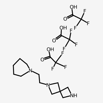 C1CCN(CCN2CC3(CNC3)C2)CC1.O=C(O)C(F)(F)F.O=C(O)C(F)(F)F.O=C(O)C(F)(F)F